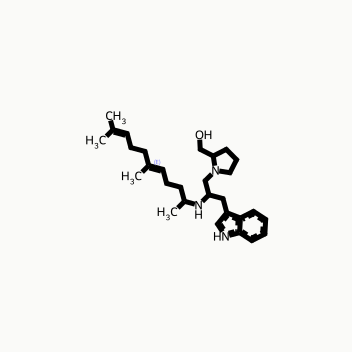 CC(C)=CCC/C(C)=C/CCC(C)NC(Cc1c[nH]c2ccccc12)CN1CCCC1CO